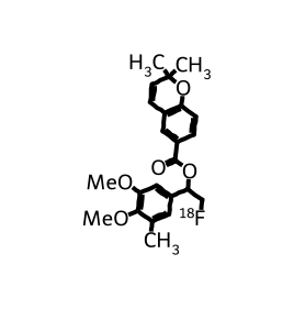 COc1cc(C(C[18F])OC(=O)c2ccc3c(c2)C=CC(C)(C)O3)cc(C)c1OC